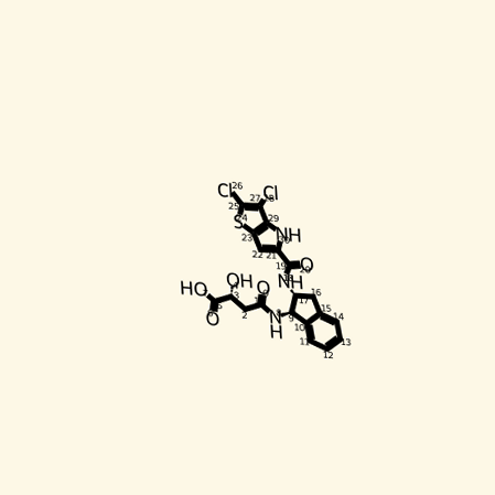 O=C(C[C@@H](O)C(=O)O)N[C@@H]1c2ccccc2C[C@H]1NC(=O)c1cc2sc(Cl)c(Cl)c2[nH]1